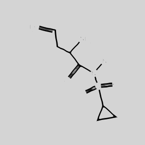 C=CCC(N)C(=O)N(N)S(=O)(=O)C1CC1